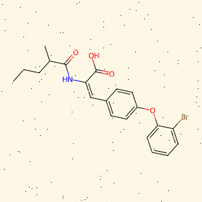 CCCC(C)C(=O)N/C(=C/c1ccc(Oc2ccccc2Br)cc1)C(=O)O